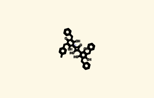 Cc1ccc(CC2=C(O)/C(=C3/C(=O)C(c4c(O)c(Cc5ccccc5)c(O)c(Cc5ccccc5)c4O)=C3O)C(O)=C(Cc3ccccc3)C2=O)cc1